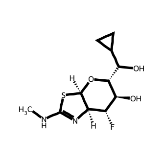 CNC1=N[C@@H]2[C@@H](F)[C@H](O)[C@@H](C(O)C3CC3)O[C@@H]2S1